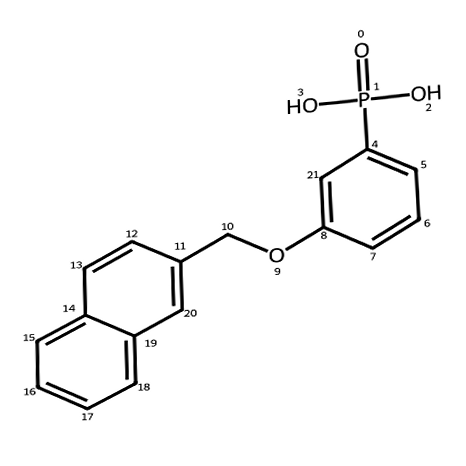 O=P(O)(O)c1cccc(OCc2ccc3ccccc3c2)c1